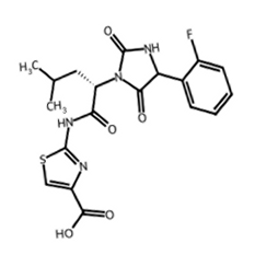 CC(C)C[C@@H](C(=O)Nc1nc(C(=O)O)cs1)N1C(=O)NC(c2ccccc2F)C1=O